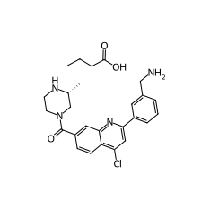 CCCC(=O)O.C[C@@H]1CN(C(=O)c2ccc3c(Cl)cc(-c4cccc(CN)c4)nc3c2)CCN1